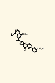 COc1cc(C(=O)N2CCC3(CC2)CC(=O)c2cc(-c4cncc(C(=O)O)c4)ccc2O3)cc2c(C3CC3)nccc12